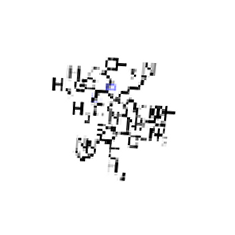 C=C(C)/C=C(\C(=C/C)OC)[C@H](Cn1c(=O)n(C(C)(C)C(=O)O)c(=O)c2c(C)c(-n3cccn3)sc21)OCCC#N